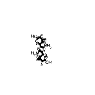 C[C@H](C(=O)O)C1=CN=C1C(=O)c1nc(N)c(C(=O)C2=NC=C2[C@H](C)C(=O)O)nc1N